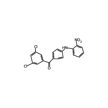 O=C(c1ccc(Nc2ccccc2[N+](=O)[O-])cc1)c1cc(Cl)cc(Cl)c1